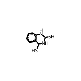 SC1Nc2ccccc2C(S)N1